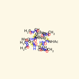 C=CC(=O)N1CC[C@@H](N(C)C(=O)c2cc(Sc3cnc(NC(=O)C4CC4c4cc(OC)c(C(=O)N(C)[C@@H]5CCN(C(=O)C=C)C5)cc4Sc4cnc(NC(=O)CCc5cc(OC)c(C(=O)N(C)[C@H]6CCN(C(=O)C=C)C6)cc5Sc5cnc(NC(=O)C6CC6c6cc(OC)c(C(=O)N(C)[C@H]7CCN(C(=O)C=C)C7)cc6Sc6cnc(NC(C)=O)s6)s5)s4)s3)c(C)cc2OC)C1